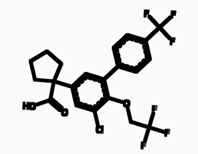 O=C(O)C1(c2cc(Cl)c(OCC(F)(F)F)c(-c3ccc(C(F)(F)F)cc3)c2)CCCC1